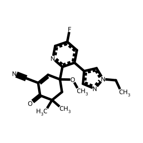 CCn1cc(-c2cc(F)cnc2C2(OC)C=C(C#N)C(=O)C(C)(C)C2)cn1